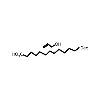 C=CCO.CCCCCCCCCCCCCCCCCCCCCC(=O)O